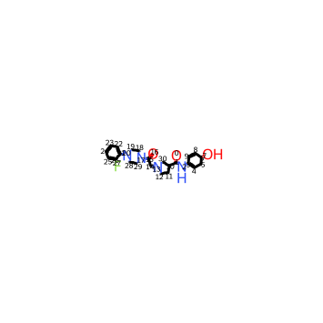 O=C(NC1=CCC(O)C=C1)C1CCN(CC(=O)N2CCN(c3ccccc3F)CC2)C1